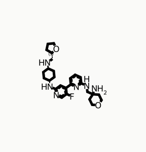 NC1(CNc2cccc(-c3cc(N[C@H]4CC[C@H](NC[C@@H]5CCCO5)CC4)ncc3F)n2)CCOCC1